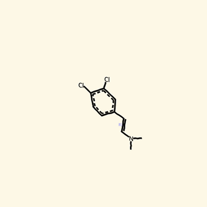 CN(C)/C=C/c1ccc(Cl)c(Cl)c1